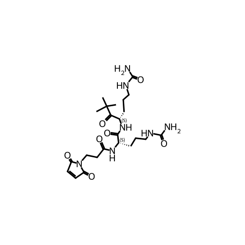 CC(C)(C)C(=O)[C@H](CCCNC(N)=O)NC(=O)[C@H](CCCNC(N)=O)NC(=O)CCN1C(=O)C=CC1=O